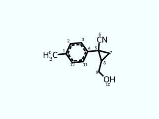 Cc1ccc(C2(C#N)CC2CO)cc1